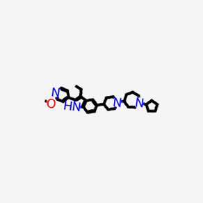 CCc1c(-c2ccnc(OC)c2)[nH]c2ccc(C3CCN(C4CCCN(C5CCCC5)CC4)CC3)cc12